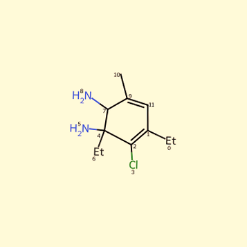 CCC1=C(Cl)C(N)(CC)C(N)C(C)=C1